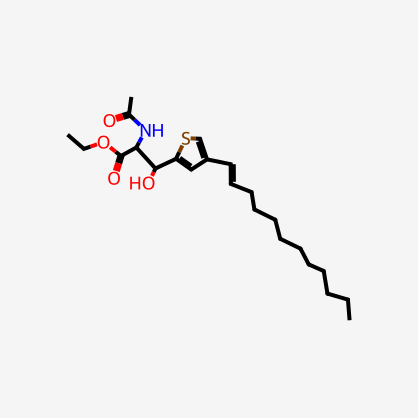 CCCCCCCCCC/C=C/c1csc(C(O)C(NC(C)=O)C(=O)OCC)c1